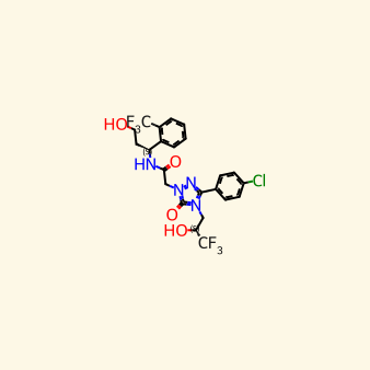 O=C(Cn1nc(-c2ccc(Cl)cc2)n(C[C@H](O)C(F)(F)F)c1=O)N[C@@H](CCO)c1ccccc1C(F)(F)F